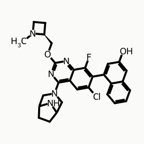 CN1CC[C@H]1COc1nc(N2CC3CCC(C2)N3)c2cc(Cl)c(-c3cc(O)cc4ccccc34)c(F)c2n1